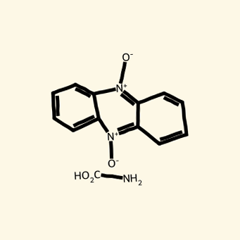 NC(=O)O.[O-][n+]1c2ccccc2[n+]([O-])c2ccccc21